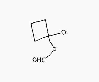 [O]C1(O[C]=O)CCC1